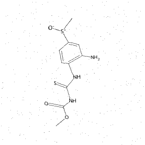 COC(=O)NC(=S)Nc1ccc([S+](C)[O-])cc1N